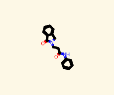 O=C(CCN1Cc2ccccc2C1=O)Nc1ccccc1